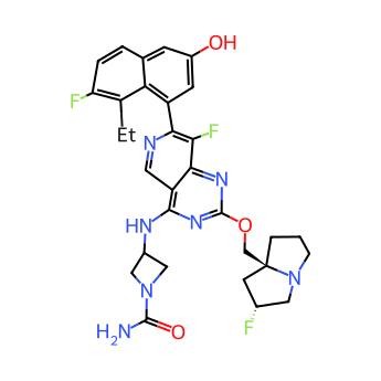 CCc1c(F)ccc2cc(O)cc(-c3ncc4c(NC5CN(C(N)=O)C5)nc(OC[C@@]56CCCN5C[C@H](F)C6)nc4c3F)c12